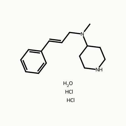 CN(C/C=C/c1ccccc1)C1CCNCC1.Cl.Cl.O